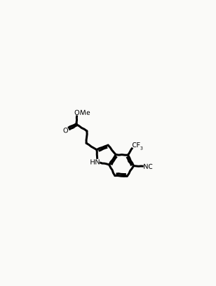 [C-]#[N+]c1ccc2[nH]c(CCC(=O)OC)cc2c1C(F)(F)F